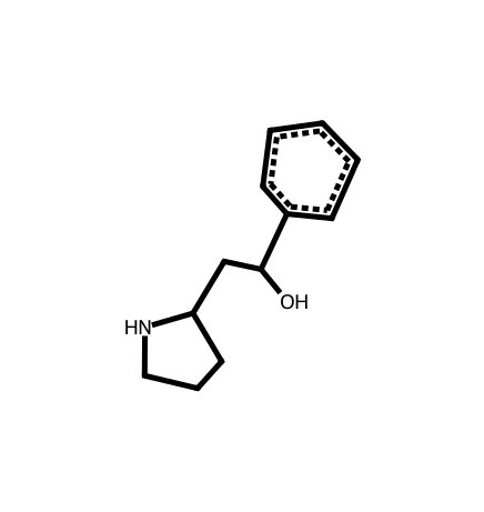 OC(CC1CCCN1)c1ccccc1